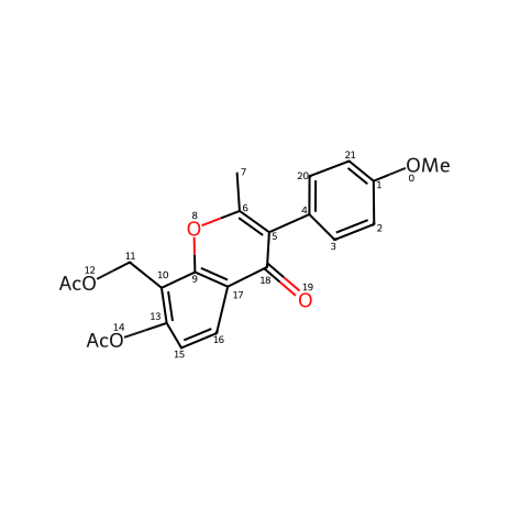 COc1ccc(-c2c(C)oc3c(COC(C)=O)c(OC(C)=O)ccc3c2=O)cc1